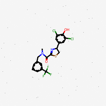 CN(Cc1cccc(C(F)(F)F)c1)C(=O)C1=NC(c2cc(Cl)c(O)c(Cl)c2)CS1